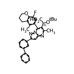 Cc1nc2cc(-c3cccc(-c4ccccc4)c3)nn2c(-c2cc(F)c3c(c2C)CCCO3)c1[C@H](OC(C)(C)C)C(=O)O